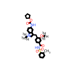 [2H]C([2H])([2H])Oc1cc(C(=O)NS(=O)(=O)c2ccccc2C)ccc1Cc1cn(C([2H])([2H])[2H])c2ccc(NC(=O)OC3CCCC3)cc12